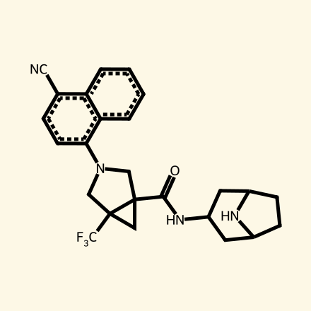 N#Cc1ccc(N2CC3(C(=O)NC4CC5CCC(C4)N5)CC3(C(F)(F)F)C2)c2ccccc12